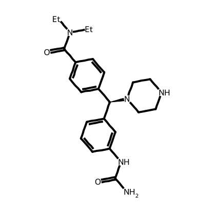 CCN(CC)C(=O)c1ccc([C@H](c2cccc(NC(N)=O)c2)N2CCNCC2)cc1